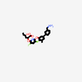 CCCCC(Oc1nc(Oc2cc(C)cc(-c3cccc(CN)c3)c2)c(F)cc1F)C(=O)O